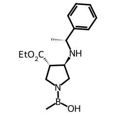 CCOC(=O)[C@H]1CN(B(C)O)C[C@@H]1N[C@H](C)c1ccccc1